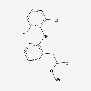 CCCOC(=O)Cc1ccccc1Nc1c(Cl)cccc1Cl